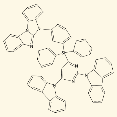 c1ccc([Si](c2ccccc2)(c2cccc(-n3c4ccccc4n4c5ccccc5nc34)c2)c2cc(-n3c4ccccc4c4ccccc43)nc(-n3c4ccccc4c4ccccc43)n2)cc1